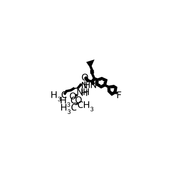 CCCC[C@@H](CNC(=O)c1[nH]c2cc(-c3ccc(F)cc3)ccc2c1C#CC1CC1)NC(=O)OC(C)(C)C